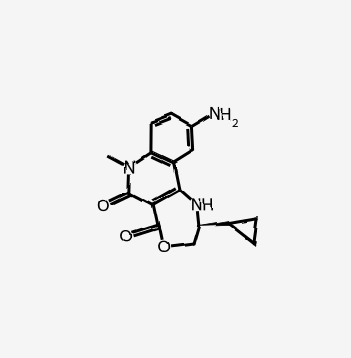 Cn1c(=O)c2c(c3cc(N)ccc31)N[C@@H](C1CC1)COC2=O